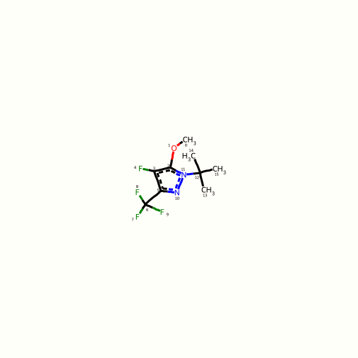 COc1c(F)c(C(F)(F)F)nn1C(C)(C)C